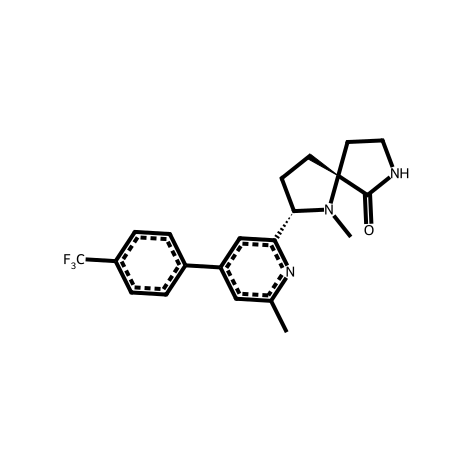 Cc1cc(-c2ccc(C(F)(F)F)cc2)cc([C@@H]2CC[C@]3(CCNC3=O)N2C)n1